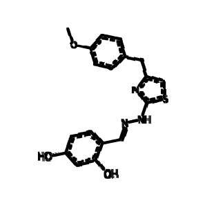 COc1ccc(Cc2csc(NN=Cc3ccc(O)cc3O)n2)cc1